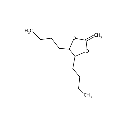 C=C1OC(CCCC)C(CCCC)O1